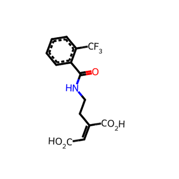 O=C(O)/C=C(\CCNC(=O)c1ccccc1C(F)(F)F)C(=O)O